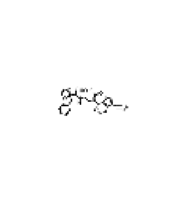 O=C(O)C(=O)N(CCNC(=O)C1(Cc2ccccc2)OC=CO1)C1OCCc2c(C(=O)O)csc21